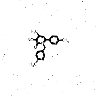 Cc1ccc(Cn2c(-c3ccc(C)cc3)cc(C(F)(F)F)c(C#N)c2=O)cc1